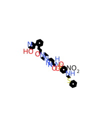 O=C(NS(=O)(=O)c1ccc(NCCSc2ccccc2)c([N+](=O)[O-])c1)c1ccc(N2CCN(C(=O)CCc3ccccc3-c3cncc(O)c3)CC2)nn1